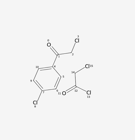 O=C(CCl)c1ccc(Cl)cc1.O=C(Cl)CCl